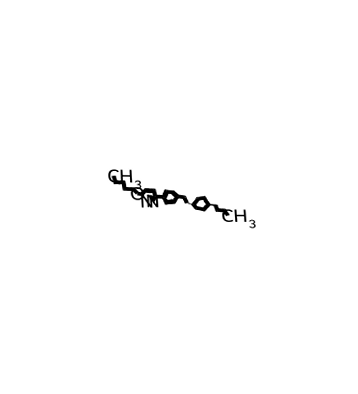 CCCCCOc1ccc(-c2ccc(CC[C@H]3CC[C@H](CCCC)CC3)cc2)nn1